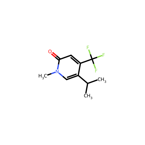 CC(C)c1cn(C)c(=O)cc1C(F)(F)F